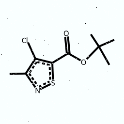 Cc1nsc(C(=O)OC(C)(C)C)c1Cl